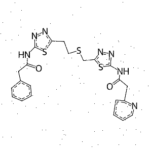 O=C(Cc1ccccc1)Nc1nnc(CCSCc2nnc(NC(=O)Cc3ccccn3)s2)s1